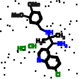 COc1ccc(CNC(C)(C)C(N)c2ccnc3cc(Cl)ccc23)cc1OC.Cl.Cl